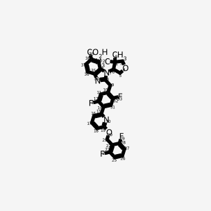 CC1(C)COCC1n1c(Cc2cc(F)c(-c3cccc(OCc4c(F)cccc4F)n3)cc2F)nc2ccc(C(=O)O)cc21